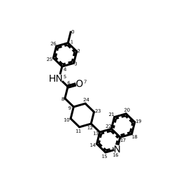 Cc1ccc(NC(=O)CC2CCC(c3ccnc4ccccc34)CC2)cc1